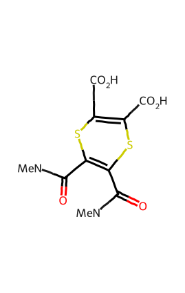 CNC(=O)C1=C(C(=O)NC)SC(C(=O)O)=C(C(=O)O)S1